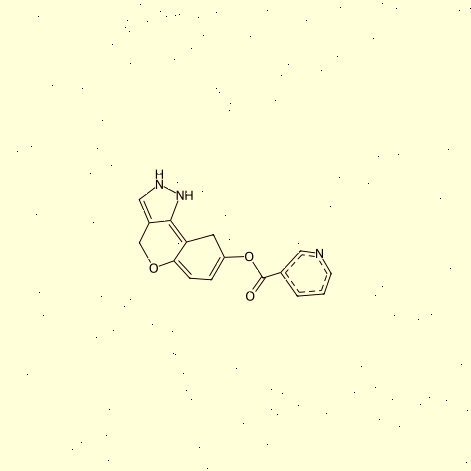 O=C(OC1=CC=C2OCC3=CNNC3=C2C1)c1cccnc1